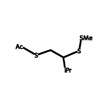 CSSC(CSC(C)=O)C(C)C